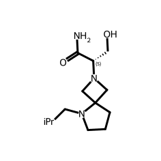 CC(C)CN1CCCC12CN([C@@H](CO)C(N)=O)C2